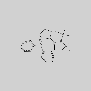 C[C@@H](C1CCC[C@H]1P(c1ccccc1)c1ccccc1)P(C(C)(C)C)C(C)(C)C